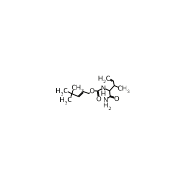 C=CC(C)C(NC(=O)OCC=CC(C)(C)C)C(N)=O